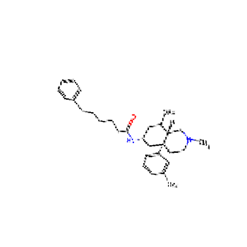 CC(=O)Oc1cccc([C@@]23CCN(C)C[C@H]2C(OC(C)=O)C[C@@H](NC(=O)CCCCCc2ccccc2)C3)c1